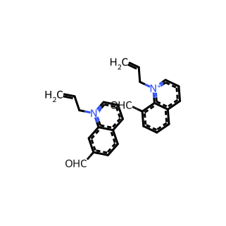 C=CC[n+]1cccc2ccc(C=O)cc21.C=CC[n+]1cccc2cccc(C=O)c21